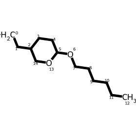 [CH2]CC1CCC(OCCCCCC)OC1